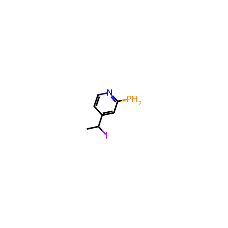 CC(I)c1ccnc(P)c1